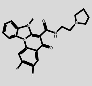 Cn1c2ccccc2n2c3cc(F)c(F)cc3c(=O)c(C(=O)NCCN3CCCC3)c12